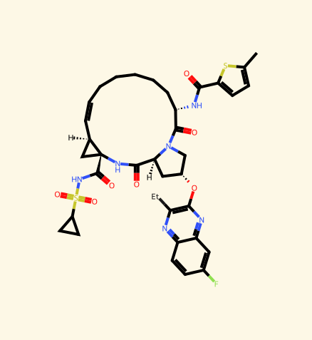 CCc1nc2ccc(F)cc2nc1O[C@@H]1C[C@H]2C(=O)N[C@]3(C(=O)NS(=O)(=O)C4CC4)C[C@H]3/C=C\CCCCC[C@H](NC(=O)c3ccc(C)s3)C(=O)N2C1